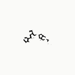 CC(C)(C)OC(=O)N1C[C@H]2C[C@H](Nc3nnc(-c4cnccc4C(F)(F)F)c4sccc34)C[C@H]2C1